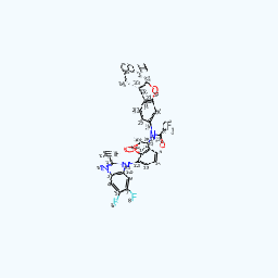 CCc1nc2cc(F)c(F)cc2n1-c1cccc2c1OC[C@H]2N(C(=O)C(F)(F)F)c1ccc2c(c1)OC[C@H]2CC(=O)O